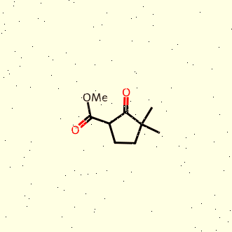 COC(=O)C1CCC(C)(C)C1=O